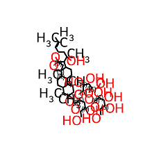 CC(C)=CC1CC(C)(O)C2C3CCC4[C@@]5(C)CC[C@H](O[C@@H]6OC(CO)[C@@H](O)C(O[C@@H]7OC(CO)[C@@H](O)C(O)[C@@H]7O)[C@@H]6O[C@@H]6O[C@@H](CO)C(O)[C@@H]6O)C(C)(C)C5CC[C@@]4(C)[C@@]34CO[C@@]2(C4)O1